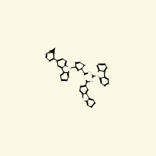 C1=C[C@@H]2C=C2C(c2ccc3c(c2)c2ccccc2n3C2=CC(c3nc(-c4ccc5oc6ccccc6c5c4)nc(-n4c5ccccc5c5ccccc54)n3)CC=C2)=C1